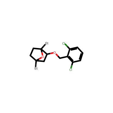 CCC12CCC(CC)(O1)C(OCc1c(Cl)cccc1Cl)C2